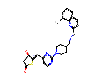 O=C1CC(=O)/C(=C/c2ccnc(N3CCC(CNCc4ccc5cccc(C(F)(F)F)c5n4)CC3)n2)S1